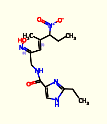 CCc1nc(C(=O)NCC(/C=C(\C)C(CC)[N+](=O)[O-])=N/O)c[nH]1